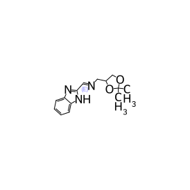 CC1(C)OCC(C/N=C/c2nc3ccccc3[nH]2)O1